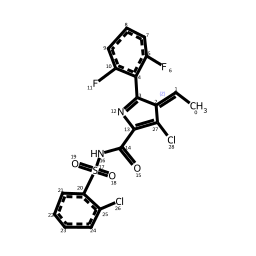 C/C=C1/C(c2c(F)cccc2F)=NC(C(=O)NS(=O)(=O)c2ccccc2Cl)=C1Cl